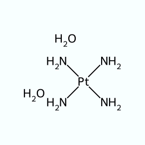 O.O.[NH2][Pt]([NH2])([NH2])[NH2]